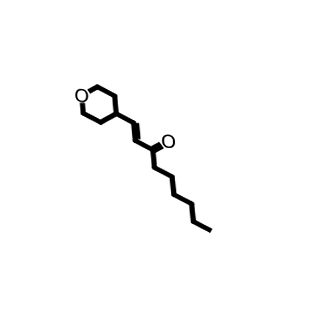 CCCCCCC(=O)C=CC1CCOCC1